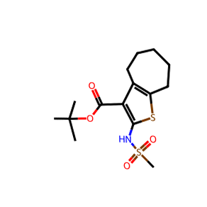 CC(C)(C)OC(=O)c1c(NS(C)(=O)=O)sc2c1CCCCC2